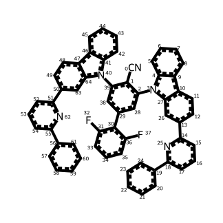 N#Cc1c(-n2c3ccccc3c3ccc(-c4cccc(-c5ccccc5)n4)cc32)cc(-c2c(F)cccc2F)cc1-n1c2ccccc2c2ccc(-c3cccc(-c4ccccc4)n3)cc21